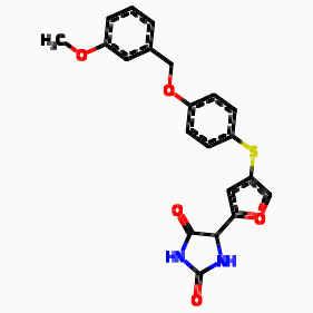 COc1cccc(COc2ccc(Sc3coc(C4NC(=O)NC4=O)c3)cc2)c1